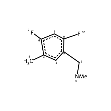 CNCc1cc(C)c(F)cc1F